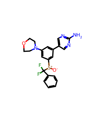 Nc1ncc(-c2cc(N3CCOCC3)cc([S+]([O-])C(F)(F)c3ccccc3)c2)cn1